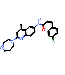 Cc1cc(N2CCCN(C)CC2)nc2ccc(NC(=O)/C=C\c3ccc(Cl)cc3)cc12